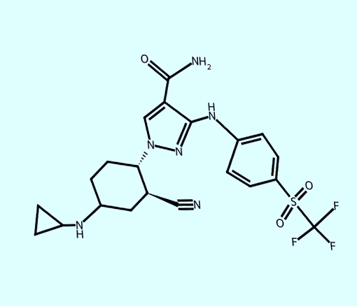 N#C[C@H]1CC(NC2CC2)CC[C@@H]1n1cc(C(N)=O)c(Nc2ccc(S(=O)(=O)C(F)(F)F)cc2)n1